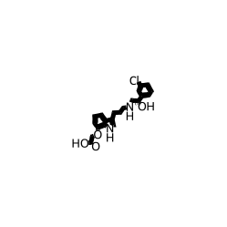 O=C(O)COc1cccc2c(CCCNC[C@@H](O)c3cccc(Cl)c3)c[nH]c12